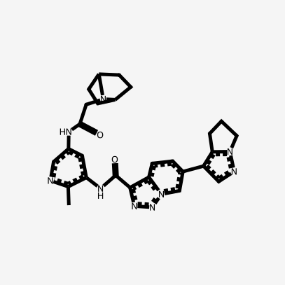 Cc1ncc(NC(=O)CN2C3CCC2CC3)cc1NC(=O)c1nnn2cc(-c3cnn4c3CCC4)ccc12